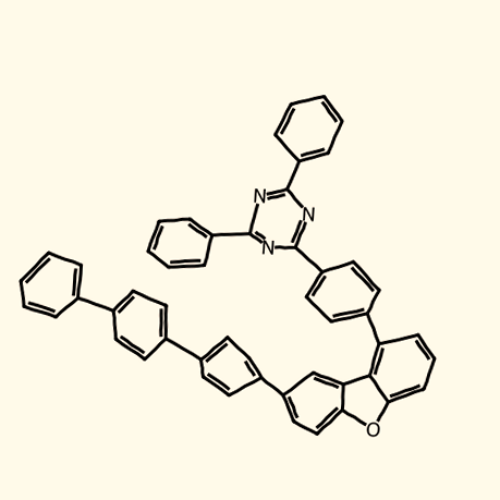 c1ccc(-c2ccc(-c3ccc(-c4ccc5oc6cccc(-c7ccc(-c8nc(-c9ccccc9)nc(-c9ccccc9)n8)cc7)c6c5c4)cc3)cc2)cc1